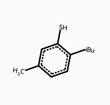 CCC(C)c1ccc(C)cc1S